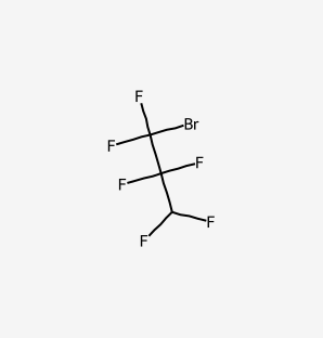 FC(F)C(F)(F)C(F)(F)Br